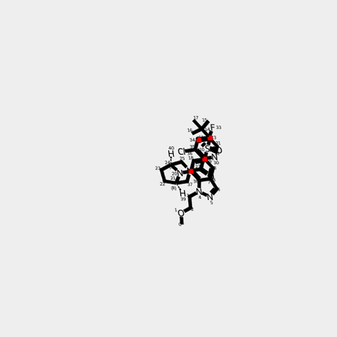 COCCn1ncc2cc(S(=O)(=O)CC(C)(C)C)cc(N3[C@@H]4CC[C@H]3CN(C(=O)c3ncc(F)cc3Cl)C4)c21